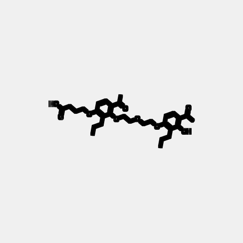 CCCc1c(OCCOCCOc2c(C(C)=O)ccc(OCCCC(=O)O)c2CCC)ccc(C(C)=O)c1O